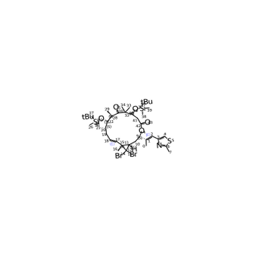 C/C(=C\c1csc(C)n1)[C@@H]1C[C@@H]2C(Br)(Br)[C@]2(C)/C=C/C[C@H](C)[C@H](O[Si](C)(C)C(C)(C)C)[C@@H](C)C(=O)C(C)(C)[C@@H](O[Si](C)(C)C(C)(C)C)CC(=O)O1